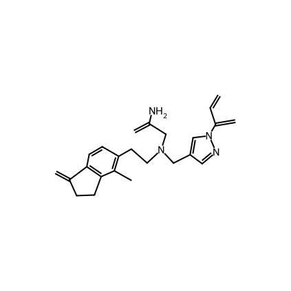 C=CC(=C)n1cc(CN(CCc2ccc3c(c2C)CCC3=C)CC(=C)N)cn1